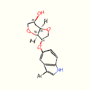 CC(=O)c1c[nH]c2ccc(O[C@@H]3CO[C@H]4[C@@H]3OC[C@H]4O)cc12